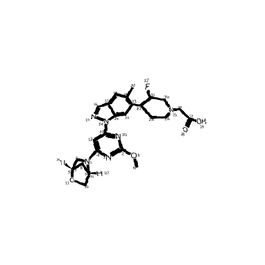 COc1nc(N2C[C@@H]3C[C@H]2CO3)cc(-n2ncc3cc(C)c(C4CCN(CC(=O)O)CC4F)cc32)n1